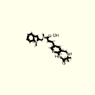 CN(Cc1cc2ccccc2n1C)C(=O)/C=C/c1cnc2c(c1)CNC(C)(C)C(=O)N2.Cl